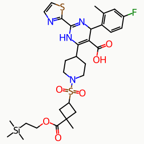 Cc1cc(F)ccc1C1N=C(c2nccs2)NC(C2CCN(S(=O)(=O)C3CC(C)(C(=O)OCC[Si](C)(C)C)C3)CC2)=C1C(=O)O